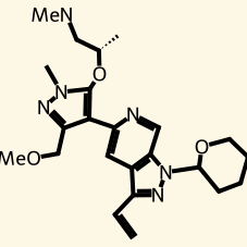 C=Cc1nn(C2CCCCO2)c2cnc(-c3c(COC)nn(C)c3O[C@@H](C)CNC)cc12